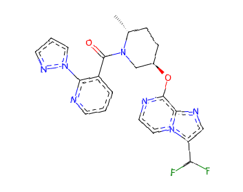 C[C@@H]1CC[C@@H](Oc2nccn3c(C(F)F)cnc23)CN1C(=O)c1cccnc1-n1cccn1